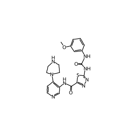 COc1cccc(NC(=O)Nc2nnc(C(=O)Nc3cnccc3N3CCNCC3)s2)c1